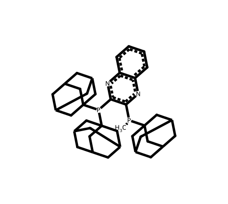 CP(c1nc2ccccc2nc1P(C12CC3CC(CC(C3)C1)C2)C12CC3CC(CC(C3)C1)C2)C12CC3CC(CC(C3)C1)C2